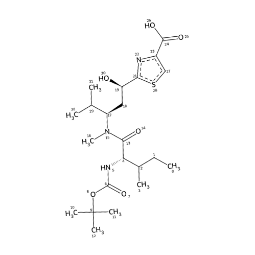 CCC(C)[C@H](NC(=O)OC(C)(C)C)C(=O)N(C)[C@H](C[C@@H](O)c1nc(C(=O)O)cs1)C(C)C